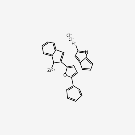 CCC1=NC2=CC=CC2=C1.[Cl-].[Cl-].[Zr+2][CH]1C(c2ccc(-c3ccccc3)o2)=Cc2ccccc21